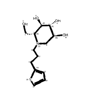 OC[C@@H]1[C@@H](O)[C@H](O)[C@@H](O)CN1CCCc1cccs1